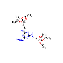 CCO[Si](CCCNc1nc(N=[N+]=[N-])nc(NCCC[Si](OCC)(OCC)OCC)n1)(OCC)OCC